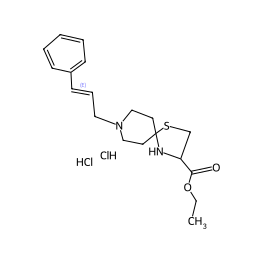 CCOC(=O)C1CSC2(CCN(C/C=C/c3ccccc3)CC2)N1.Cl.Cl